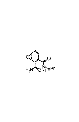 CCCNC(=O)c1ccc2c(c1C(N)=O)O2